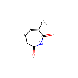 CC1=CCCC(=O)NC1=O